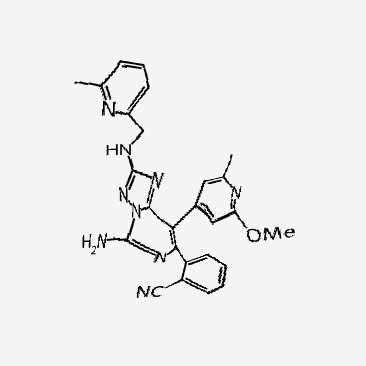 COc1cc(-c2c(-c3ccccc3C#N)nc(N)n3nc(NCc4cccc(C)n4)nc23)cc(C)n1